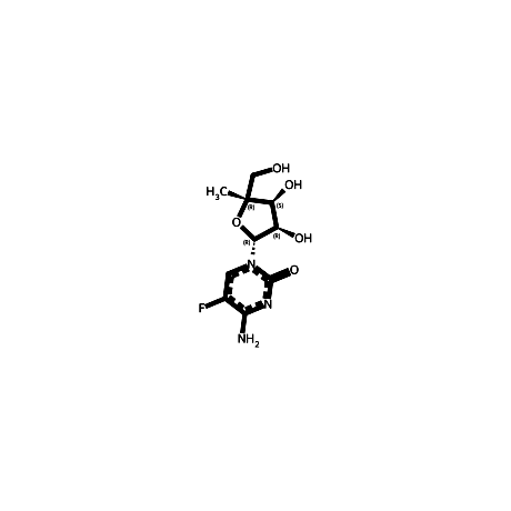 C[C@]1(CO)O[C@@H](n2cc(F)c(N)nc2=O)[C@H](O)[C@@H]1O